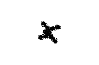 c1ccc2cc3c(N(c4ccc(COC5CCCCO5)cc4)c4ccc(COC5CCCCO5)cc4)ccc(N(c4ccc(COC5CCCCO5)cc4)c4ccc(COC5CCCCO5)cc4)c3cc2c1